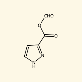 O=COC(=O)c1cc[nH]n1